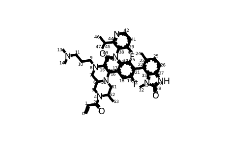 C=CC(=O)N1CC2CN(CCCN(C)C)c3c(c4cc(F)c(-c5c(C)ccc6[nH]c(=O)n(C)c56)c(F)c4n(-c4c(C)ccnc4C(C)C)c3=O)N2CC1C